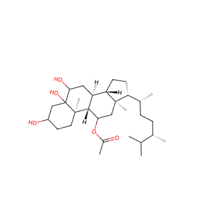 CC(=O)OC1C[C@]2(C)[C@@H]([C@H](C)CC[C@H](C)C(C)C)CC[C@H]2[C@@H]2CC(O)C3(O)CC(O)CC[C@]3(C)[C@@H]12